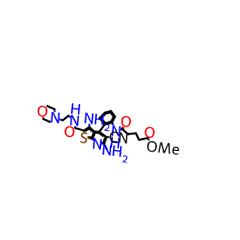 COC(=O)CCCC(=O)Nc1ccccc1-c1c(C#N)c(N)nc2sc(C(=O)NCCN3CCOCC3)c(N)c12